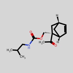 CC(=O)[C@@]1(COC(=O)NCC(C)C)C[C@@H]2C=C[C@H]1C2